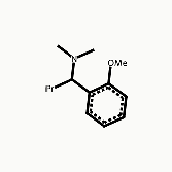 COc1ccccc1C(C(C)C)N(C)C